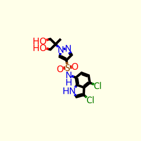 CC(CO)(CO)n1cc(S(=O)(=O)Nc2ccc(Cl)c3c(Cl)c[nH]c23)cn1